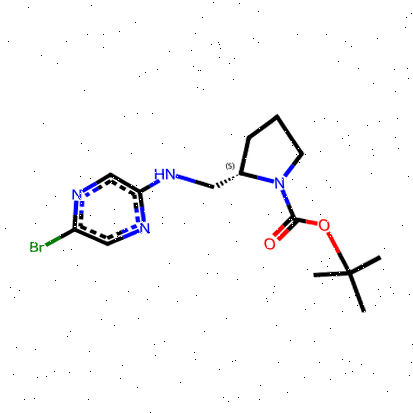 CC(C)(C)OC(=O)N1CCC[C@H]1CNc1cnc(Br)cn1